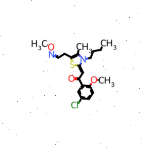 CCCCN1C(C)=C(C/C=N\OC)S/C1=C\C(=O)c1cc(Cl)ccc1OC